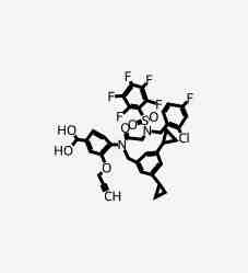 C#CCOc1cc(C(O)O)ccc1N(Cc1cc(C2CC2)cc(C2CC2)c1)C(=O)CN(Cc1ccc(F)cc1Cl)S(=O)(=O)c1c(F)c(F)c(F)c(F)c1F